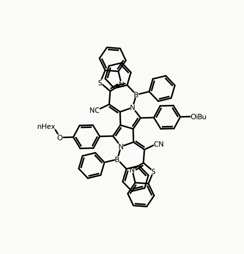 CCCCCCOc1ccc(-c2c3/c(=C(\C#N)c4nc5ccccc5s4)n(B(c4ccccc4)c4ccccc4)c(-c4ccc(OCC(C)C)cc4)c3/c(=C(\C#N)c3nc4ccccc4s3)n2B(c2ccccc2)c2ccccc2)cc1